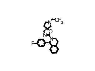 Fc1ccc([C@H]2c3ccccc3CCN2C2=NC[C@]3(CCN(CC(F)(F)F)C3)O2)cc1